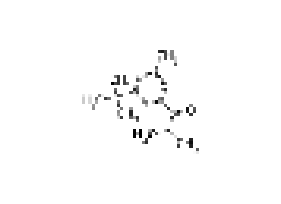 Cc1cc(C(=O)C(C)C)cc(C(C)(C)C)c1